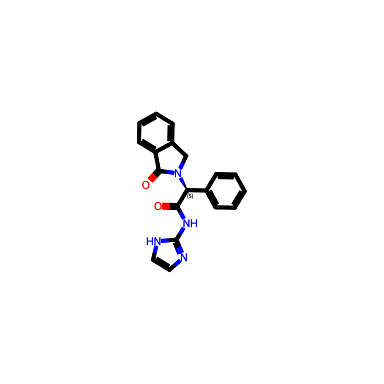 O=C(Nc1ncc[nH]1)[C@H](c1ccccc1)N1Cc2ccccc2C1=O